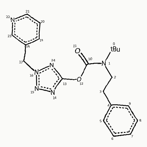 CC(C)(C)N(CCc1ccccc1)C(=O)Oc1nnn(Cc2cccnc2)n1